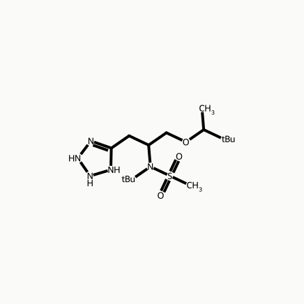 CC(OCC(CC1=NNNN1)N(C(C)(C)C)S(C)(=O)=O)C(C)(C)C